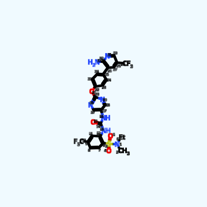 CCN(C)S(=O)(=O)c1ccc(C(F)(F)F)cc1NC(=O)Nc1cnc(Oc2ccc(-c3cc(C(F)(F)F)cnc3N)cc2)nc1